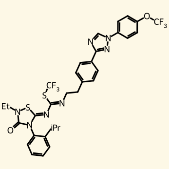 CCn1s/c(=N\C(=N\CCc2ccc(-c3ncn(-c4ccc(OC(F)(F)F)cc4)n3)cc2)SC(F)(F)F)n(-c2ccccc2C(C)C)c1=O